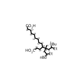 CCCCC(CC)CC(C)(CC(CC)CCCC)C(CCCCCCCCC(=O)O)CCC(=O)O